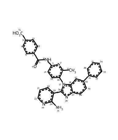 Cc1nc(NC(=O)c2ccc(C(=O)O)cc2)ccc1-n1c(-c2cccnc2N)nc2ccc(-c3ccccc3)cc21